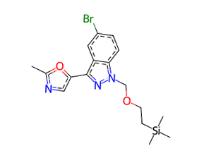 Cc1ncc(-c2nn(COCC[Si](C)(C)C)c3ccc(Br)cc23)o1